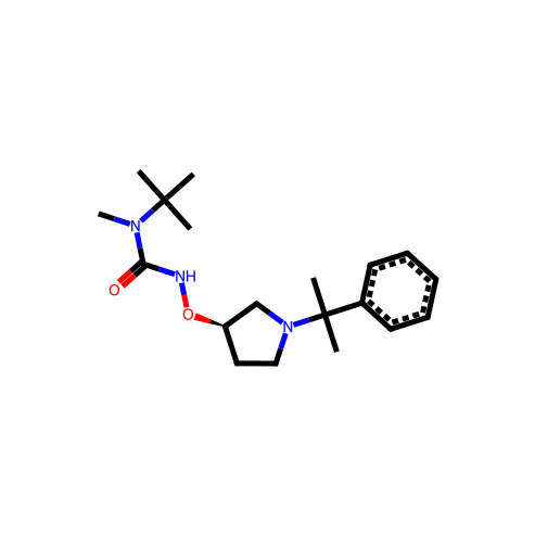 CN(C(=O)NO[C@@H]1CCN(C(C)(C)c2ccccc2)C1)C(C)(C)C